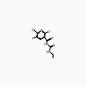 CCNC(=O)NC(=O)c1cc(F)c(Cl)nc1Cl